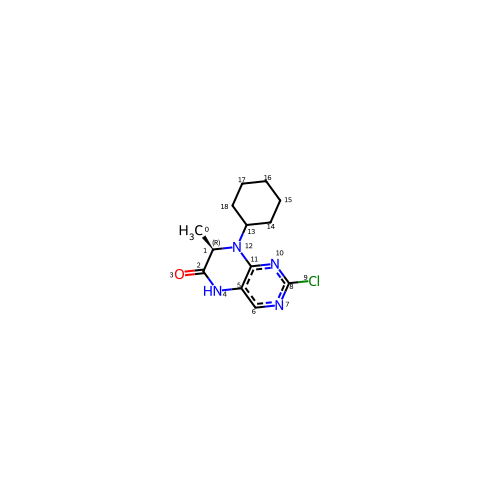 C[C@@H]1C(=O)Nc2cnc(Cl)nc2N1C1CCCCC1